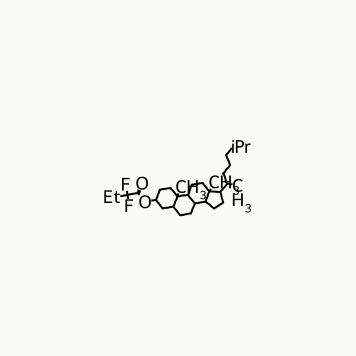 CCC(F)(F)C(=O)OC1CCC2(C)C(CCC3C2CCC2(C)C(C(C)CCCC(C)C)CCC32)C1